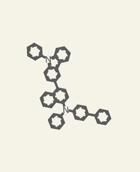 c1ccc(-c2ccc(N(c3ccccc3)c3ccc(-c4ccc5c(c4)c4ccccc4n5-c4ccccc4)c4ccccc34)cc2)cc1